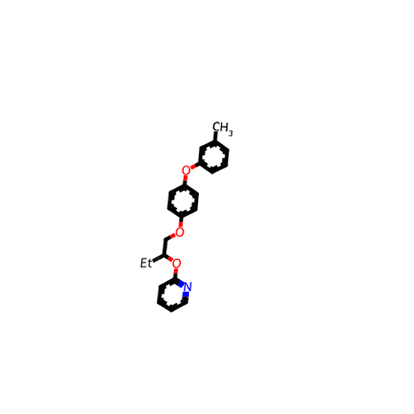 CCC(COc1ccc(Oc2cccc(C)c2)cc1)Oc1ccccn1